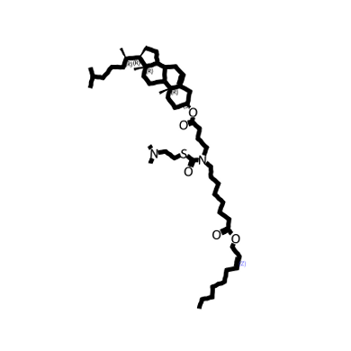 CCCCCC/C=C\COC(=O)CCCCCCCN(CCCC(=O)O[C@H]1CC[C@@]2(C)C(=CCC3C2CC[C@@]2(C)C3CC[C@@H]2[C@H](C)CCCC(C)C)C1)C(=O)SCCN(C)C